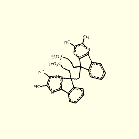 CCOC(=O)CCC1(CC2(CCC(=O)OCC)c3ccccc3-c3nc(C#N)c(C#N)nc32)c2ccccc2-c2nc(C#N)c(C#N)nc21